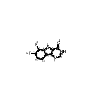 O=c1[nH]cnc2c1sc1c(F)c(F)ccc12